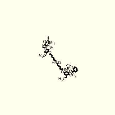 CC[C@H]1C[C@@H](OCCCCC(=O)NCCCCCCOC2[C@@H](CC)O[C@@H](n3cnc4c(=O)[nH]c(N)nc43)[C@H]2O)[C@H](NC(C)=O)[C@@H](OC(=O)c2ccccc2)[C@H]1C